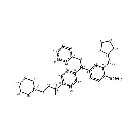 COc1ccc(N(Cc2cccnc2)c2ccc(NCCN3CCOCC3)nc2)cc1OC1CCCC1